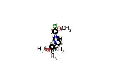 CCOc1cc(N2CCN3[C@@H](CCC[C@@H]3c3ccc(OC)c(C)c3C)C2)ccc1Cl